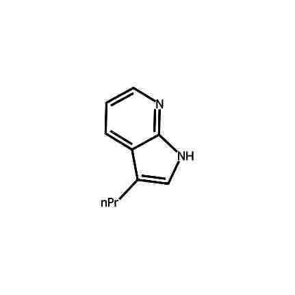 CCCc1c[nH]c2ncccc12